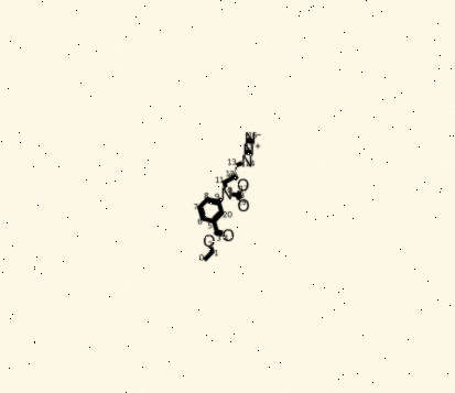 CCOC(=O)c1cccc(N2C[C@H](CN=[N+]=[N-])OC2=O)c1